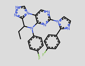 CCC1c2nncn2-c2cnc(-n3ccnc3-c3ccc(F)cc3)nc2N1c1ccc(F)cc1